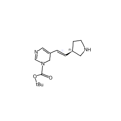 CC(C)(C)OC(=O)N1C=NC=C(/C=C/[C@H]2CCNC2)C1